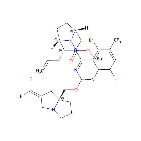 C=CC[C@@H]1[C@@H]2CC[C@H](CN1c1nc(OC[C@@]34CCCN3CC(=C(F)F)C4)nc3c(F)cc(C(F)(F)F)c(Br)c13)N2C(=O)OC(C)(C)C